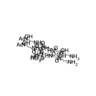 CC(=O)N(O)CCCCCNC(=O)CCC(=O)N(O)CCCCCNC(=O)CCC(=O)N(O)CCCCCN.CC(=O)N(O)CCCCCNC(=O)CCC(=O)N(O)CCCCCNC(=O)CCC(=O)N(O)CCCCCN.CS(=O)(=O)O.CS(=O)(=O)O